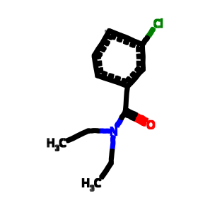 CCN(CC)C(=O)c1cc[c]c(Cl)c1